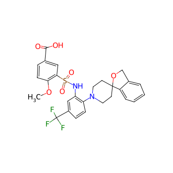 COc1ccc(C(=O)O)cc1S(=O)(=O)Nc1cc(C(F)(F)F)ccc1N1CCC2(CC1)OCc1ccccc12